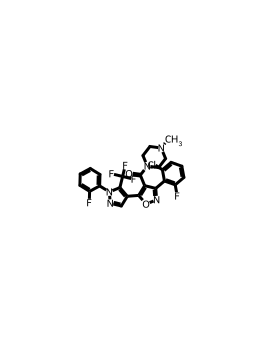 CN1CCN(C(=O)c2c(-c3c(F)cccc3Cl)noc2-c2cnn(-c3ccccc3F)c2C(F)(F)F)CC1